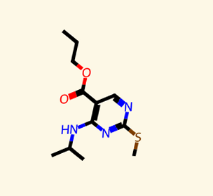 CCCOC(=O)c1cnc(SC)nc1NC(C)C